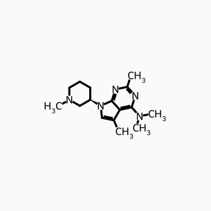 Cc1nc(N(C)C)c2c(C)cn([C@@H]3CCCN(C)C3)c2n1